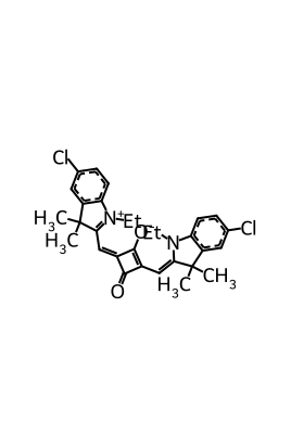 CCN1/C(=C\C2=C([O-])C(=CC3=[N+](CC)c4ccc(Cl)cc4C3(C)C)C2=O)C(C)(C)c2cc(Cl)ccc21